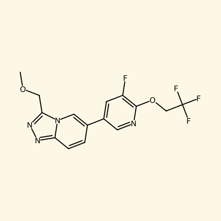 COCc1nnc2ccc(-c3cnc(OCC(F)(F)F)c(F)c3)cn12